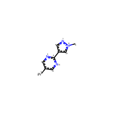 CC(C)c1cnc(-c2cnn(C)c2)nc1